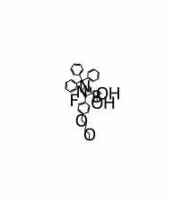 COCCOc1ccc(-c2nn(C(c3ccccc3)(c3ccccc3)c3ccccc3)cc2B(O)O)c(F)c1